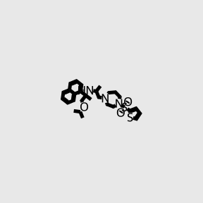 CC(CN1CCCN(S(=O)(=O)c2cccs2)CC1)NC(C)(COC(C)C)c1cccc2ccccc12